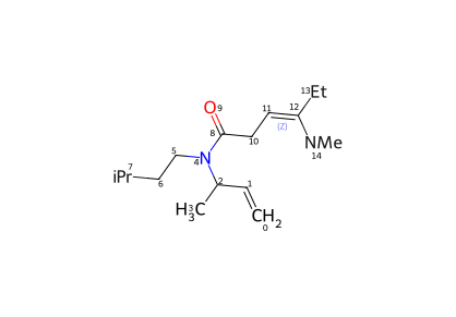 C=CC(C)N(CCC(C)C)C(=O)C/C=C(/CC)NC